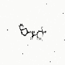 CCC1CCC(NC(=O)N(C)CC(F)(F)F)C1